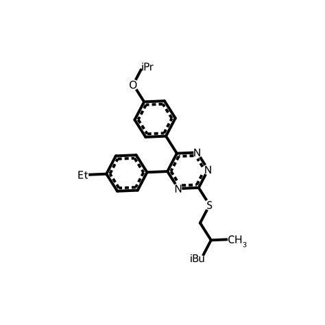 CCc1ccc(-c2nc(SCC(C)C(C)CC)nnc2-c2ccc(OC(C)C)cc2)cc1